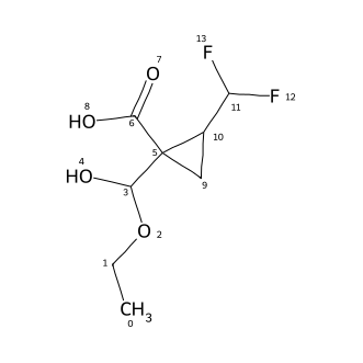 CCOC(O)C1(C(=O)O)CC1C(F)F